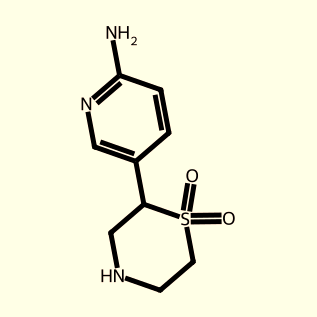 Nc1ccc(C2CNCCS2(=O)=O)cn1